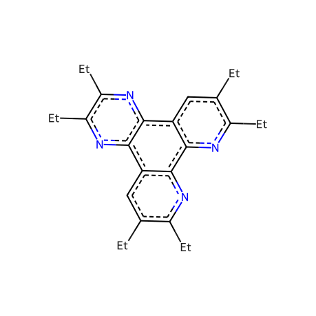 CCc1cc2c(nc1CC)c1nc(CC)c(CC)cc1c1nc(CC)c(CC)nc21